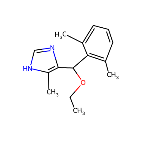 CCOC(c1nc[nH]c1C)c1c(C)cccc1C